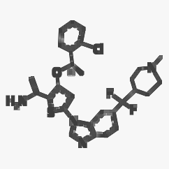 C=C(N)c1sc(-n2cnc3ccc(C(F)(F)C4CCN(C)CC4)cc32)cc1O[C@H](C)c1ccccc1Cl